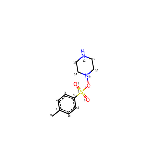 Cc1ccc(S(=O)(=O)ON2CCNCC2)cc1